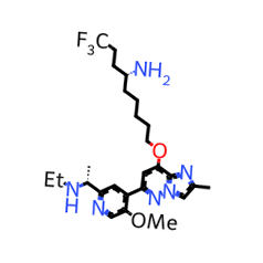 CCN[C@H](C)c1cc(-c2cc(OCCCCC[C@@H](N)CCC(F)(F)F)c3nc(C)cn3n2)c(OC)cn1